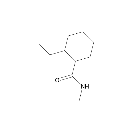 CCC1CCCCC1C(=O)NC